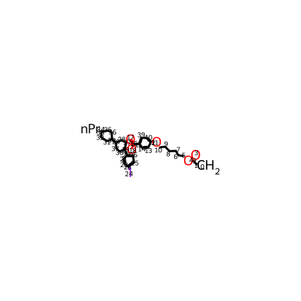 C=CC(=O)OCCCCCCOc1ccc(C(=O)OC2(c3ccc(I)cc3)CCC(C3CCC(CCC)CC3)CC2)cc1